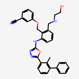 Cc1c(-c2ccccc2)cccc1-c1nnc(Nc2cccc(CNCCO)c2COc2cccc(C#N)c2)o1